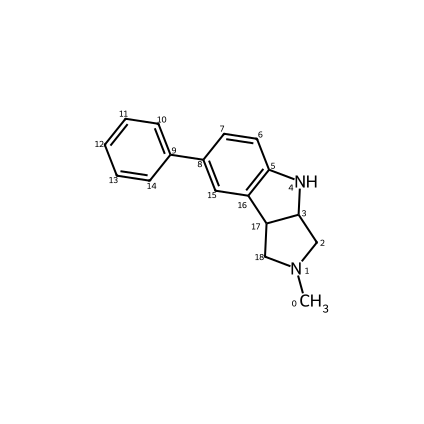 CN1CC2Nc3ccc(-c4ccccc4)cc3C2C1